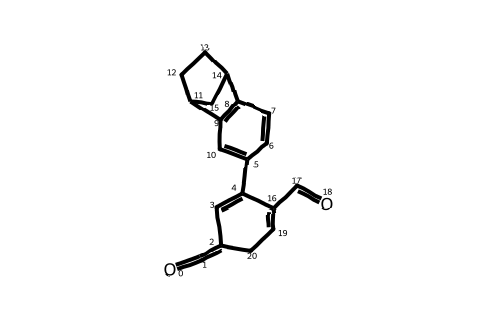 O=C=C1C=C(c2ccc3c(c2)C2CCC3C2)C(C=O)=CC1